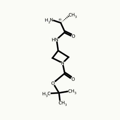 C[C@@H](N)C(=O)NC1CN(C(=O)OC(C)(C)C)C1